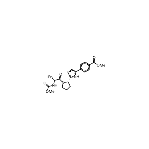 COC(=O)N[C@H](C(=O)N1CCC[C@H]1c1ncc(-c2ccc(C(=O)OC)cc2)[nH]1)C(C)C